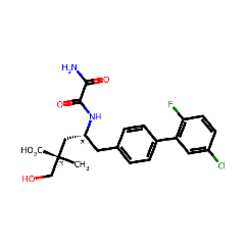 C[C@](CO)(C[C@@H](Cc1ccc(-c2cc(Cl)ccc2F)cc1)NC(=O)C(N)=O)C(=O)O